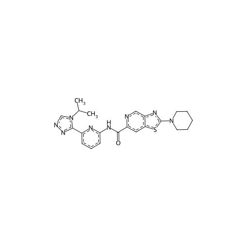 CC(C)n1cnnc1-c1cccc(NC(=O)c2cc3sc(N4CCCCC4)nc3cn2)n1